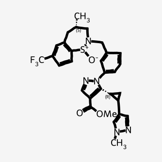 COC(=O)c1cnn(-c2cccc(CN3C[C@@H](C)Cc4cc(C(F)(F)F)ccc4[S+]3[O-])c2)c1[C@@H]1CC1c1cnn(C)c1